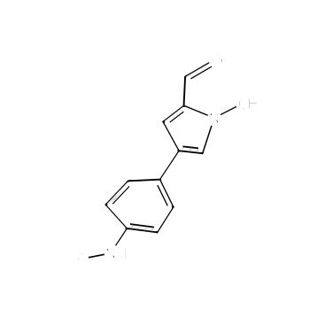 CNc1ccc(-c2cc(C=O)n(C)c2)cc1